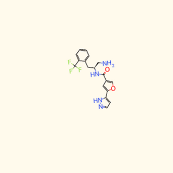 NC[C@H](Cc1ccccc1C(F)(F)F)NC(=O)c1coc(-c2ccn[nH]2)c1